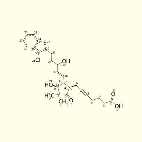 CC1(C)C(=O)[C@H](CC#CCCCC(=O)O)[C@@H](C=CC(O)CCc2sc3ccccc3c2Cl)[C@@H]1O